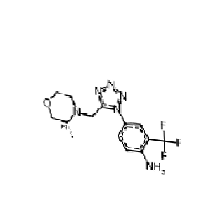 C[C@@H]1COCCN1Cc1nnnn1-c1ccc(N)c(C(F)(F)F)c1